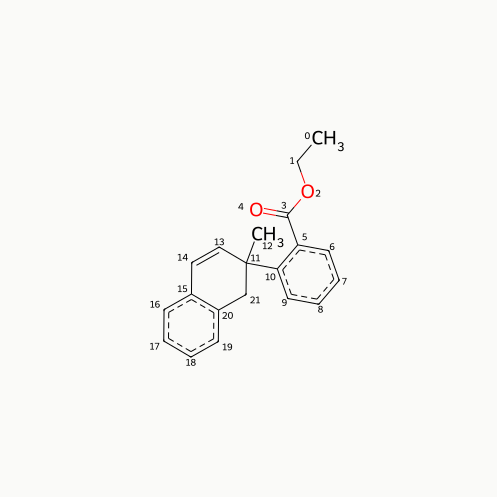 CCOC(=O)c1ccccc1C1(C)C=Cc2ccccc2C1